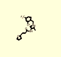 Cc1nn(Cc2ccc(C(F)(F)F)cc2C(F)(F)F)cc1NC(=O)C=Cc1ccco1